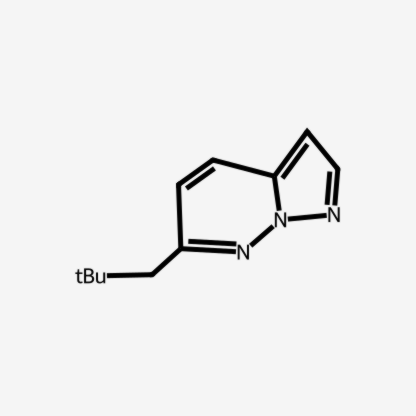 CC(C)(C)Cc1ccc2ccnn2n1